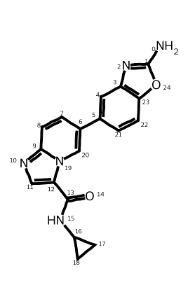 Nc1nc2cc(-c3ccc4ncc(C(=O)NC5CC5)n4c3)ccc2o1